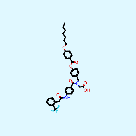 CCCCCCCOc1ccc(C(=O)Oc2ccc(CN(CC(=O)O)C(=O)c3ccc(NC(=O)Cc4ccccc4C(F)(F)F)cc3)cc2)cc1